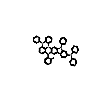 Cc1ccccc1N1c2cc3c4ccc(N(c5ccccc5)c5ccccc5)cc4n(-c4ccccc4)c3cc2B2c3ccccc3N(c3ccccc3)c3cccc1c32